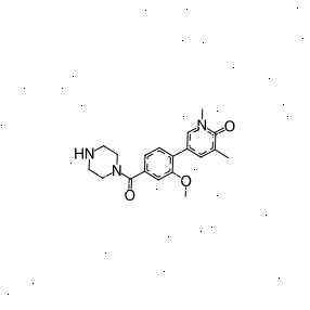 COc1cc(C(=O)N2CCNCC2)ccc1-c1cc(C)c(=O)n(C)c1